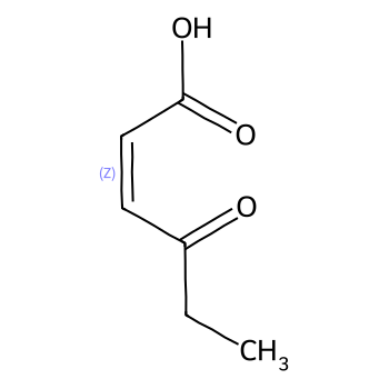 CCC(=O)/C=C\C(=O)O